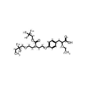 CCOC(Cc1ccc(OCCN(CCOCC(F)(F)CC)C(=O)OCC(F)(F)F)cc1)C(=O)O